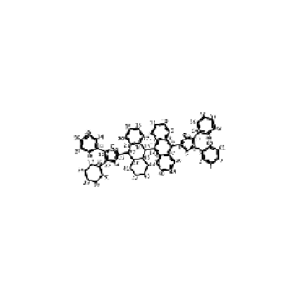 c1ccc(-c2cc(-c3c4ccccc4c(C4c5ccccc5C(c5cc(C6CCCCC6)c(-c6ccccc6)s5)C5CCCCC45)c4ccccc34)sc2-c2ccccc2)cc1